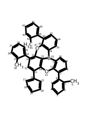 Cc1ccccc1-c1cccc2c1Oc1c(-c3ccccc3)cc(-c3ccccc3C)c3c1B2c1cccc(-c2ccccc2C)c1O3